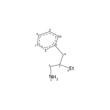 CCC(CN)Cc1ccccc1